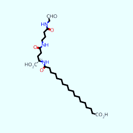 O=CCNC(=O)CCCNC(=O)CC[C@H](NC(=O)CCCCCCCCCCCCCCCCC(=O)O)C(=O)O